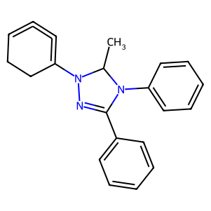 CC1N(C2=C=C=CCC2)N=C(c2ccccc2)N1c1ccccc1